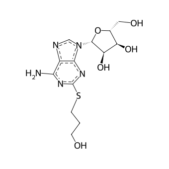 Nc1nc(SCCCO)nc2c1ncn2[C@@H]1O[C@H](CO)[C@@H](O)[C@H]1O